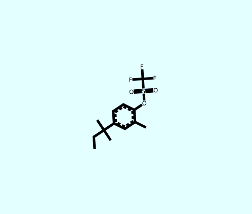 CCC(C)(C)c1ccc(OS(=O)(=O)C(F)(F)F)c(C)c1